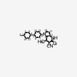 Cc1ccc(-c2ccc(-n3ccc4[nH]c(=O)c(C#N)c(O)c43)cc2)cc1